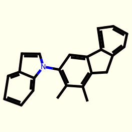 Cc1c(-n2ccc3ccccc32)cc2c(c1C)Cc1ccccc1-2